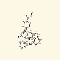 C=CC(=O)N1CCN(c2nc(=O)n([C@H]3CCCCC3(C)C)c3nc(-c4c(O)cccc4F)c(Cl)cc23)CC1